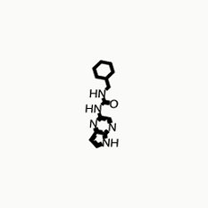 O=C(NCC1CCCCC1)Nc1cnc2[nH]ccc2n1